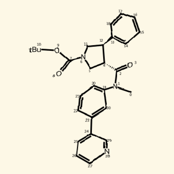 CN(C(=O)[C@@H]1CN(C(=O)OC(C)(C)C)C[C@H]1c1ccccc1)c1cccc(-c2cccnc2)c1